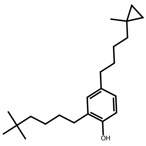 CC(C)(C)CCCCc1cc(CCCCC2(C)CC2)ccc1O